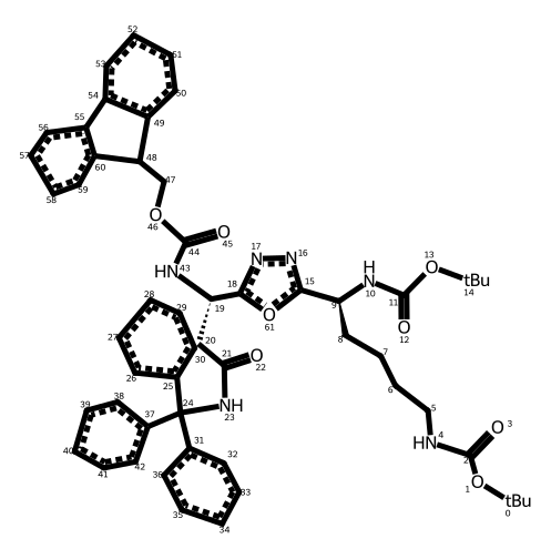 CC(C)(C)OC(=O)NCCCC[C@H](NC(=O)OC(C)(C)C)c1nnc([C@H](CC(=O)NC(c2ccccc2)(c2ccccc2)c2ccccc2)NC(=O)OCC2c3ccccc3-c3ccccc32)o1